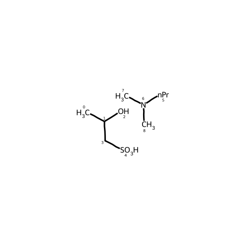 CC(O)CS(=O)(=O)O.CCCN(C)C